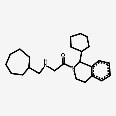 O=C(CNCC1CCCCCC1)N1CCc2ccccc2C1C1CCCCC1